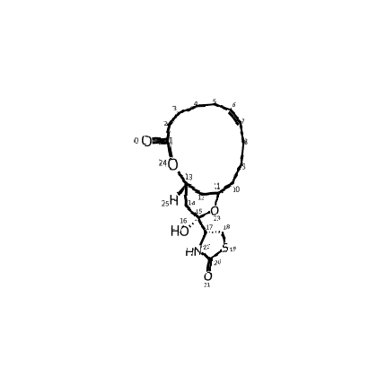 O=C1CCCC/C=C\CCCC2C[C@H](C[C@](O)([C@@H]3CSC(=O)N3)O2)O1